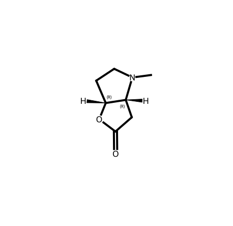 CN1CC[C@H]2OC(=O)C[C@H]21